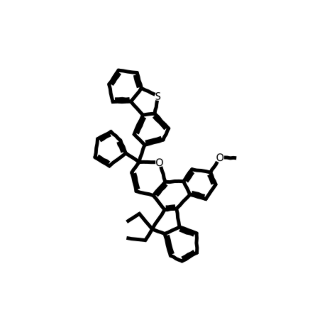 CCC1(CC)c2ccccc2-c2c1c1c(c3cc(OC)ccc23)OC(c2ccccc2)(c2ccc3sc4ccccc4c3c2)C=C1